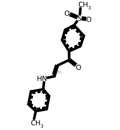 Cc1ccc(N/C=C/C(=O)c2ccc(S(C)(=O)=O)cc2)cc1